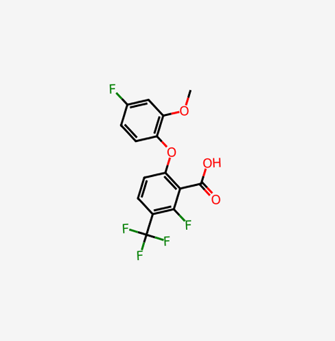 COc1cc(F)ccc1Oc1ccc(C(F)(F)F)c(F)c1C(=O)O